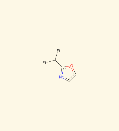 CCC(CC)c1ncco1